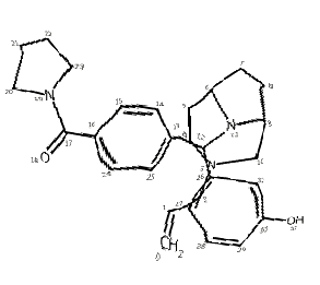 C=CCN1CCC2CCC(C1)N2C(c1ccc(C(=O)N2CCCC2)cc1)c1cccc(O)c1